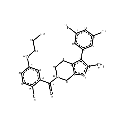 Cn1nc2c(c1-c1cc(F)cc(F)c1)CCN(C(=O)c1cc(OCCF)ccc1Cl)C2